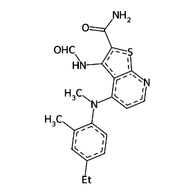 CCc1ccc(N(C)c2ccnc3sc(C(N)=O)c(NC=O)c23)c(C)c1